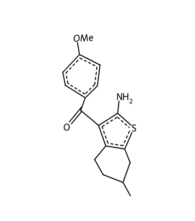 COc1ccc(C(=O)c2c(N)sc3c2CCC(C)C3)cc1